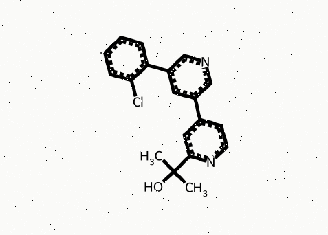 CC(C)(O)c1cc(-c2cncc(-c3cc[c]cc3Cl)c2)ccn1